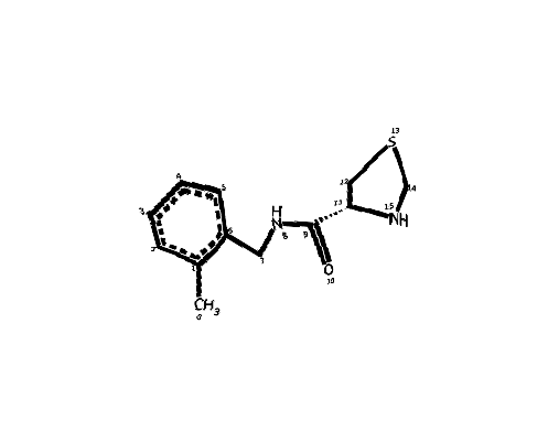 Cc1ccccc1CNC(=O)[C@@H]1CSCN1